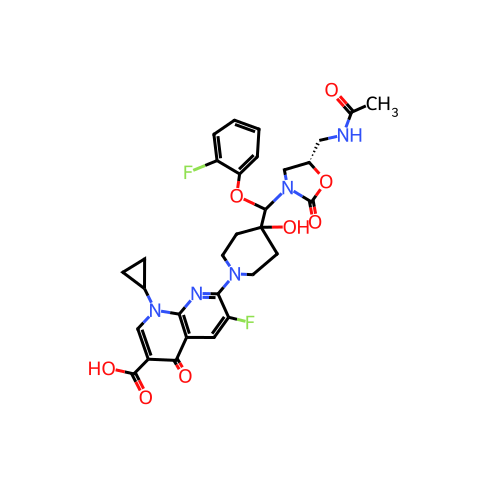 CC(=O)NC[C@H]1CN(C(Oc2ccccc2F)C2(O)CCN(c3nc4c(cc3F)c(=O)c(C(=O)O)cn4C3CC3)CC2)C(=O)O1